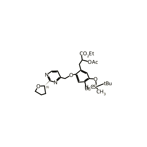 CCOC(=O)C(Cc1cc(O[Si](C)(C)C(C)(C)C)c(Br)cc1OCc1ccnc([C@@H]2CCCO2)n1)OC(C)=O